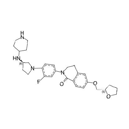 O=C1c2ccc(OC[C@@H]3CCCO3)cc2CCN1c1ccc(N2CC[C@@H](NC3CCNCC3)C2)c(F)c1